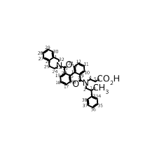 CC(CN(CCC(=O)O)C(=O)c1ccccc1-c1ccccc1C(=O)N1CCc2ccccc2C1)c1ccccc1